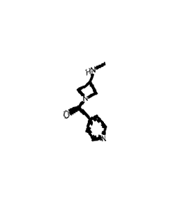 CNC1CN(C(=O)c2ccncc2)C1